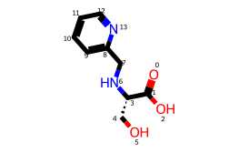 O=C(O)[C@H](CO)NCc1ccccn1